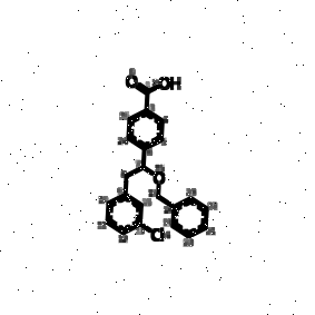 O=C(O)c1ccc(C(Cc2cccc(Cl)c2)OCc2ccccc2)cc1